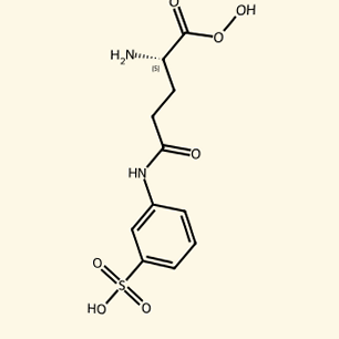 N[C@@H](CCC(=O)Nc1cccc(S(=O)(=O)O)c1)C(=O)OO